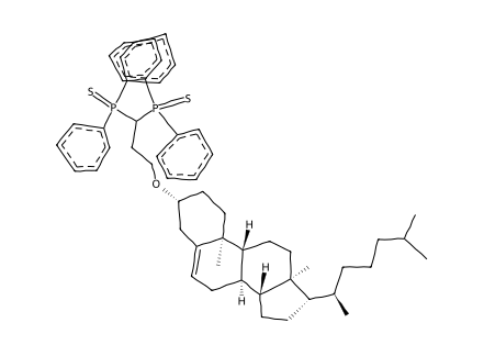 CC(C)CCC[C@@H](C)[C@@H]1CC[C@@H]2[C@H]3CC=C4C[C@H](OCCC(P(=S)(c5ccccc5)c5ccccc5)P(=S)(c5ccccc5)c5ccccc5)CC[C@@]4(C)[C@@H]3CC[C@]21C